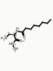 CCCCCCCC(=O)N[C@H](CN)C(=O)NO